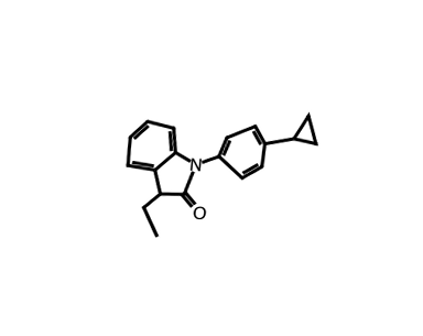 CCC1C(=O)N(c2ccc(C3CC3)cc2)c2ccccc21